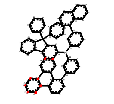 c1ccc(-c2ccccc2-c2c(-c3ccccc3)cccc2-c2cccc(N(c3cccc(-c4cccc5ccccc45)c3)c3ccc4c(c3)C(c3ccccc3)(c3ccccc3)c3ccccc3-4)c2)cc1